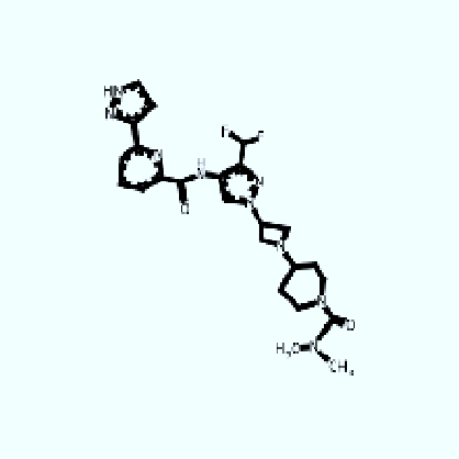 CN(C)C(=O)N1CCC(N2CC(n3cc(NC(=O)c4cccc(-c5cc[nH]n5)n4)c(C(F)F)n3)C2)CC1